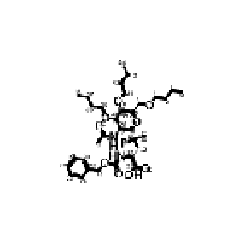 CCCCOC[C@H]1O[C@H](C(F)(F)C[C@@H](NC(=O)OCc2ccccc2)C(=O)O)[C@H](NC(C)=O)[C@@H](OCCCC)[C@H]1OCCCC